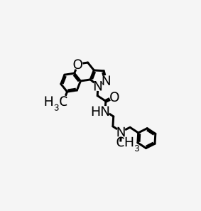 Cc1ccc2c(c1)-c1c(cnn1CC(=O)NCCN(C)Cc1ccccc1)CO2